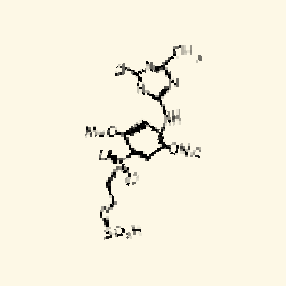 COc1cc(S(=O)(=O)CCOS(=O)(=O)O)c(OC)cc1Nc1nc(C)nc(Cl)n1